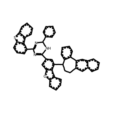 c1ccc(C2N=C(c3cccc4sc5ccccc5c34)N=C(c3cc(C4CCc5cc6ccccc6cc5-c5ccccc54)c4c(c3)oc3ccccc34)N2)cc1